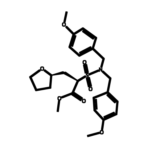 COC(=O)[C@@H](C[C@H]1CCCO1)S(=O)(=O)N(Cc1ccc(OC)cc1)Cc1ccc(OC)cc1